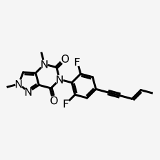 C/C=C/C#Cc1cc(F)c(-n2c(=O)c3nn(C)cc3n(C)c2=O)c(F)c1